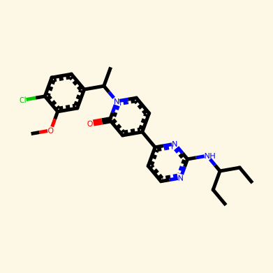 CCC(CC)Nc1nccc(-c2ccn(C(C)c3ccc(Cl)c(OC)c3)c(=O)c2)n1